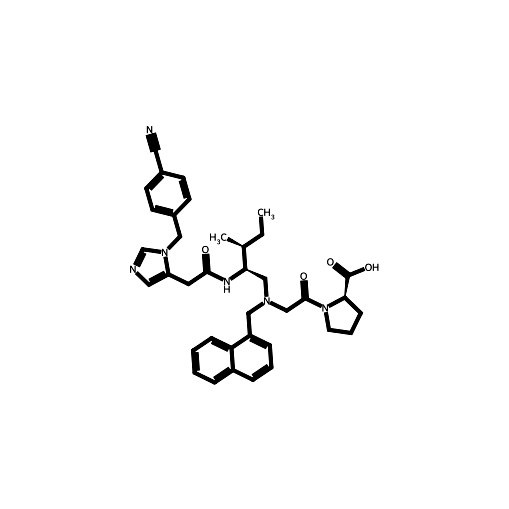 CC[C@H](C)[C@@H](CN(CC(=O)N1CCC[C@@H]1C(=O)O)Cc1cccc2ccccc12)NC(=O)Cc1cncn1Cc1ccc(C#N)cc1